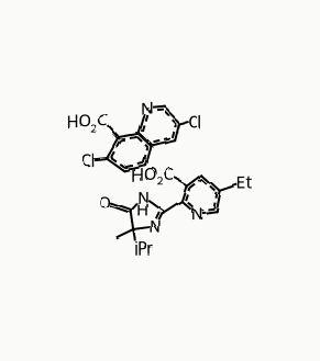 CCc1cnc(C2=NC(C)(C(C)C)C(=O)N2)c(C(=O)O)c1.O=C(O)c1c(Cl)ccc2cc(Cl)cnc12